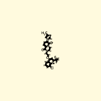 Cc1cn(-c2ccc3n(c2=O)CCN(CCOc2cc(C(F)(F)F)nc4c(Cl)cccc24)C3=O)cn1